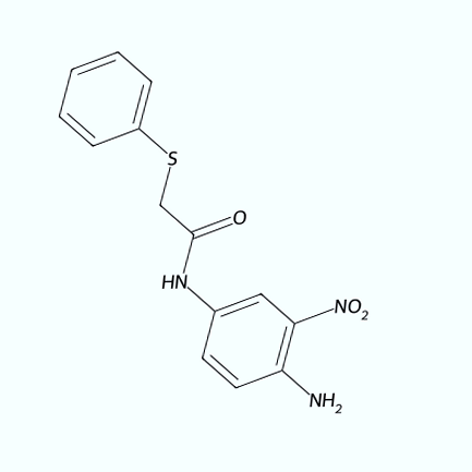 Nc1ccc(NC(=O)CSc2ccccc2)cc1[N+](=O)[O-]